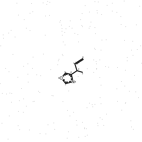 C=CC(C)c1cocn1